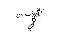 NC1CCN(C(=O)[C@H](NC(=O)C(=O)c2ccc(OCC3CCCCC3)cc2)C(F)(F)c2ccc(-c3ccc(Cl)cc3)cc2)CC1